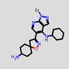 CCn1ncc2c(NC3CCCCC3)c(C3=NOC4(CCC(N)CC4)C3)cnc21